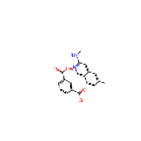 CNc1cc2cc(C)ccc2cn1.O=C(O)c1cccc(C(=O)O)c1